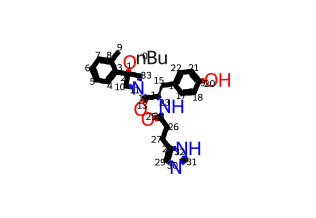 CCCCOC1(c2ccccc2C)CN(C(=O)[C@@H](Cc2ccc(O)cc2)NC(=O)CCc2cnc[nH]2)C1